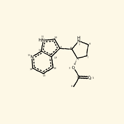 CC(=O)O[C@H]1CCNC1c1c[nH]c2ncccc12